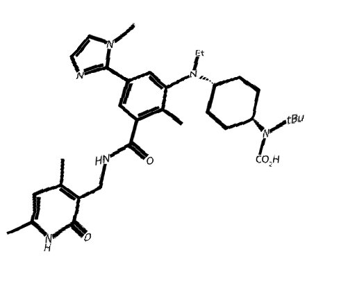 CCN(c1cc(-c2nccn2C)cc(C(=O)NCc2c(C)cc(C)[nH]c2=O)c1C)[C@H]1CC[C@H](N(C(=O)O)C(C)(C)C)CC1